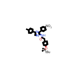 Cc1ccc(-c2cnc(NC(=O)Cc3ccc(O[Si](C)(C)C(C)(C)C)cc3)c(-c3ccc([N+](=O)[O-])cc3)n2)cc1